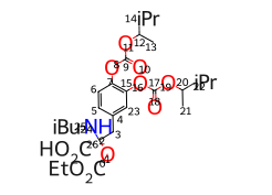 CCOC(=O)O[C@](Cc1ccc(OC(=O)OC(C)C(C)C)c(OC(=O)OC(C)C(C)C)c1)(NC(C)CC)C(=O)O